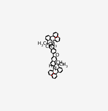 CC(C)(C)c1cccc(-c2ccccc2)c1N(c1ccccc1)c1ccc2cc3c(cc2c1)oc1cc2cc(N(c4ccccc4)c4c(-c5ccccc5)cccc4C(C)(C)C)ccc2cc13